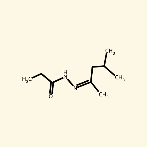 CCC(=O)NN=C(C)CC(C)C